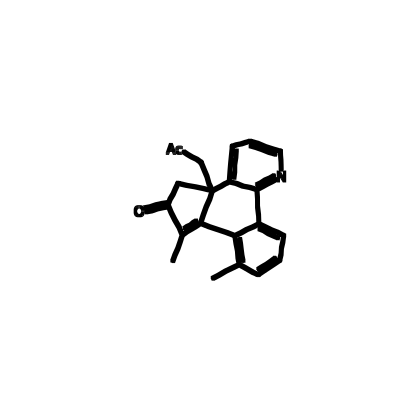 CC(=O)CC12CC(=O)C(C)=C1c1c(C)cccc1-c1ncccc12